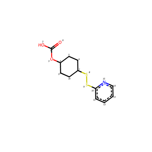 O=C(O)OC1CCC(SSc2ccccn2)CC1